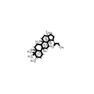 C=C(COC(C)=O)[C@@H]1CC[C@]2([C]=O)CC[C@]3(C)[C@H](CC[C@@H]4[C@@]5(C)CC[C@H](OC(C)=O)C(C)(C)[C@@H]5CC[C@]43C)[C@@H]12